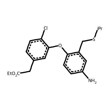 CCOC(=O)Cc1ccc(Cl)c(Oc2ccc(N)cc2CSC(C)C)c1